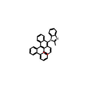 Cc1nc2ccccc2n1-c1c2ccccc2c(-c2ccccc2-c2ccccn2)c2ccccc12